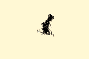 CSC[C@@H](C(N)=O)C1(N)C(=O)[C@@H](N[C@@H](c2ccc(-c3ccc(S(C)(=O)=O)cc3)cc2)C(F)(F)F)CC1C